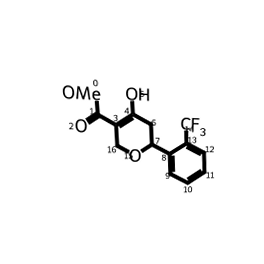 COC(=O)C1=C(O)CC(c2ccccc2C(F)(F)F)OC1